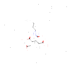 CCCCNC(=O)[C@@H]([C@H](CC(=O)O)C(=O)O)[C@@H](C)C(=O)O